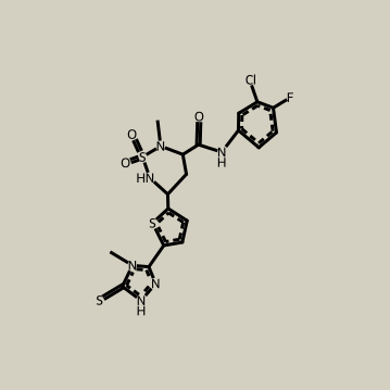 CN1C(C(=O)Nc2ccc(F)c(Cl)c2)CC(c2ccc(-c3n[nH]c(=S)n3C)s2)NS1(=O)=O